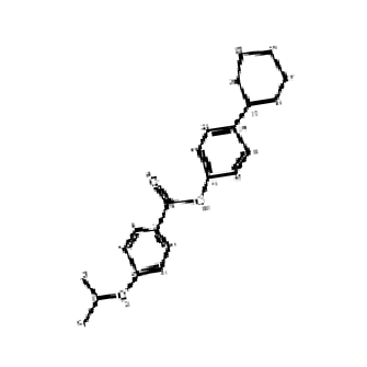 CC(C)Oc1ccc(C(=O)Oc2ccc(C3CCCCC3)cc2)cc1